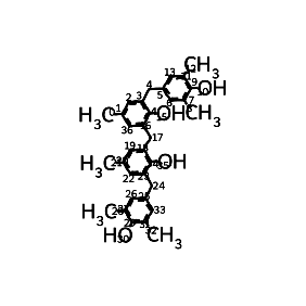 Cc1cc(Cc2cc(C)c(O)c(C)c2)c(O)c(Cc2cc(C)cc(Cc3cc(C)c(O)c(C)c3)c2O)c1